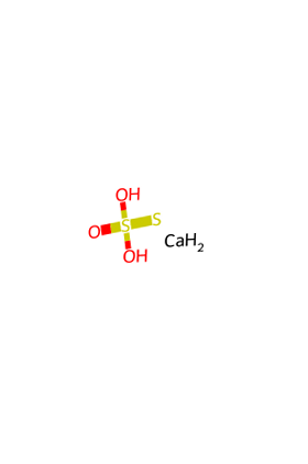 O=S(O)(O)=S.[CaH2]